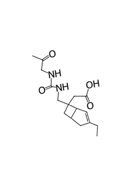 CCC1=CC2C(C1)CC2(CNC(=O)NCC(C)=O)CC(=O)O